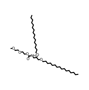 CCCCCCCCCCCCCCCCOCC(CNC(=O)OCCOCCOC)OCCCCCCCCCCCCCCCC